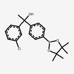 CC(O)(c1ccc(B2OC(C)(C)C(C)(C)O2)cc1)c1cccc(Cl)c1